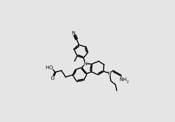 CCCN(/C=C\N)C1=Cc2c(n(-c3ccc(C#N)cc3C)c3cc(CCC(=O)O)ccc23)CC1